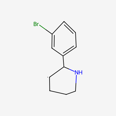 Brc1cccc(C2[CH]CCCN2)c1